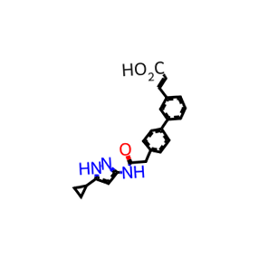 O=C(O)/C=C/c1cccc(-c2ccc(CC(=O)Nc3cc(C4CC4)[nH]n3)cc2)c1